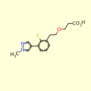 Cn1cc(-c2cccc(CCOCCC(=O)O)c2F)cn1